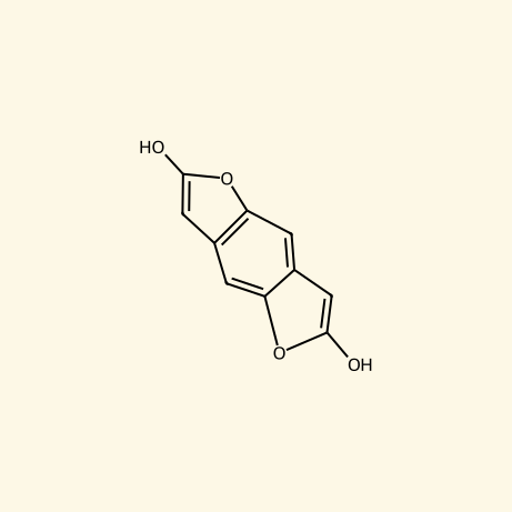 Oc1cc2cc3oc(O)cc3cc2o1